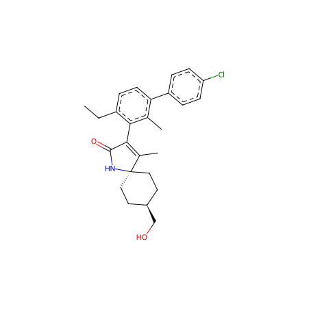 CCc1ccc(-c2ccc(Cl)cc2)c(C)c1C1=C(C)[C@]2(CC[C@H](CO)CC2)NC1=O